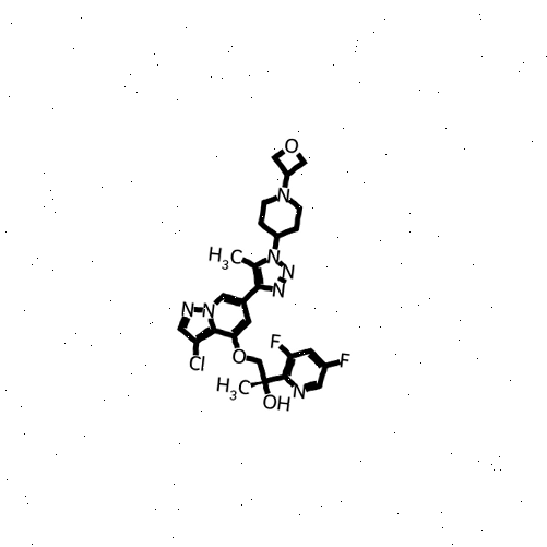 Cc1c(-c2cc(OC[C@@](C)(O)c3ncc(F)cc3F)c3c(Cl)cnn3c2)nnn1C1CCN(C2COC2)CC1